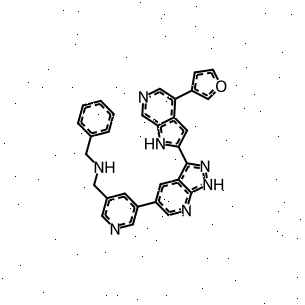 c1ccc(CNCc2cncc(-c3cnc4[nH]nc(-c5cc6c(-c7ccoc7)cncc6[nH]5)c4c3)c2)cc1